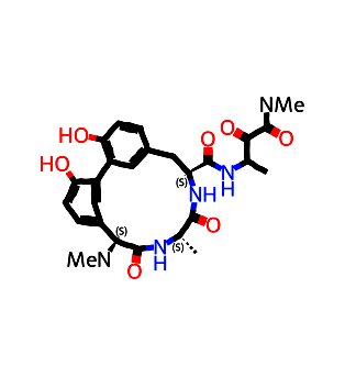 CNC(=O)C(=O)C(C)NC(=O)[C@@H]1Cc2ccc(O)c(c2)-c2cc(ccc2O)[C@H](NC)C(=O)N[C@@H](C)C(=O)N1